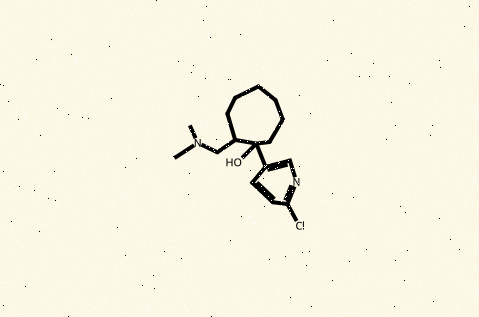 CN(C)CC1CCCCCCC1(O)c1ccc(Cl)nc1